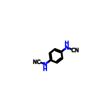 N#CNc1ccc(NC#N)cc1